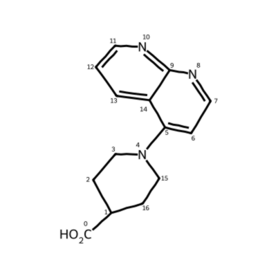 O=C(O)C1CCN(c2ccnc3ncccc23)CC1